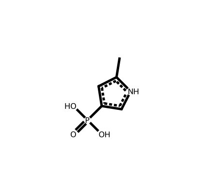 Cc1cc(P(=O)(O)O)c[nH]1